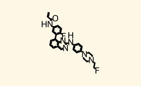 C=CC(=O)Nc1ccc(F)c(-c2cccc3cnc(Nc4ccc(N5CCN(CCF)CC5)cc4)nc23)c1